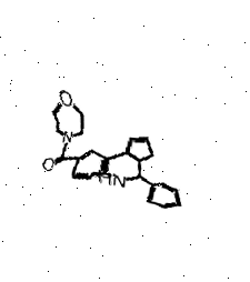 O=C(c1ccc2c(c1)C1C=CCC1C(c1ccccc1)N2)N1CCOCC1